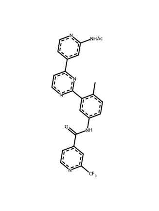 CC(=O)Nc1cc(-c2ccnc(-c3cc(NC(=O)c4ccnc(C(F)(F)F)c4)ccc3C)n2)ccn1